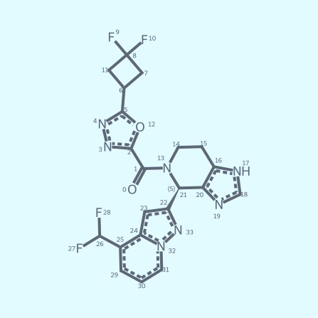 O=C(c1nnc(C2CC(F)(F)C2)o1)N1CCc2[nH]cnc2[C@H]1c1cc2c(C(F)F)cccn2n1